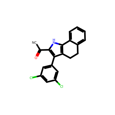 N#CC(=O)c1[nH]c2c(c1-c1cc(Cl)cc(Cl)c1)CCc1ccccc1-2